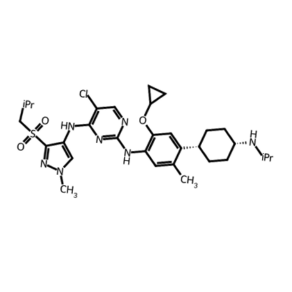 Cc1cc(Nc2ncc(Cl)c(Nc3cn(C)nc3S(=O)(=O)CC(C)C)n2)c(OC2CC2)cc1[C@H]1CC[C@@H](NC(C)C)CC1